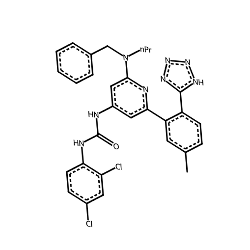 CCCN(Cc1ccccc1)c1cc(NC(=O)Nc2ccc(Cl)cc2Cl)cc(-c2cc(C)ccc2-c2nnn[nH]2)n1